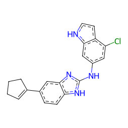 Clc1cc(Nc2nc3cc(C4=CCCC4)ccc3[nH]2)cc2[nH]ccc12